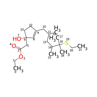 CCOC(=O)CC1(O)C=C(CC(C)CC(C)C(C)(C)SCC)CC1